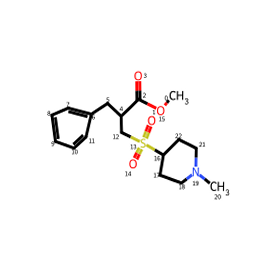 COC(=O)C(Cc1ccccc1)CS(=O)(=O)C1CCN(C)CC1